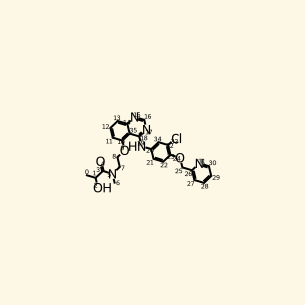 CC(O)C(=O)N(C)CCOc1cccc2ncnc(Nc3ccc(OCc4ccccn4)c(Cl)c3)c12